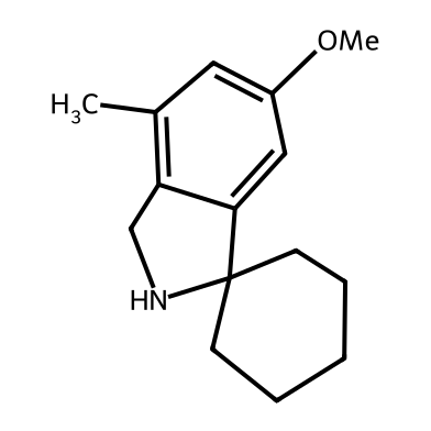 COc1cc(C)c2c(c1)C1(CCCCC1)NC2